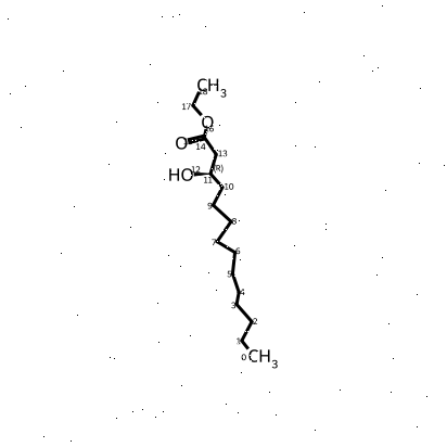 CCCCCCCCCCC[C@@H](O)CC(=O)OCC